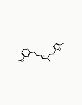 COc1cccc(CC/C=C/C(C)CCc2ccc(C)o2)c1